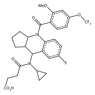 COc1cc(OC(F)(F)F)ccc1C(=O)N1c2ccc(F)cc2C(N(C(=O)CCC(=O)O)C2CC2)C2CCCC21